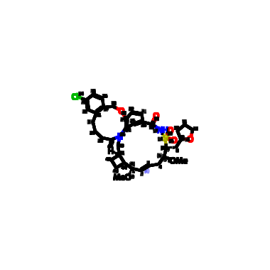 CO[C@H]1/C=C/C[C@H](OC)[C@@H](CC2CCCO2)S(=O)(=O)NC(=O)c2ccc3c(c2)N(CCCCc2cc(Cl)ccc2CO3)C[C@@H]2CCC21